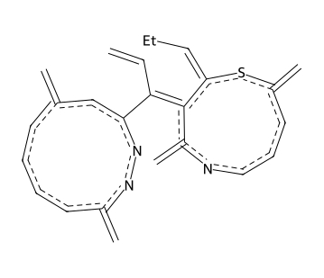 C=C/C(c1cc(=C)ccccc(=C)nn1)=c1/c(=C)ncccc(=C)s/c1=C/CC